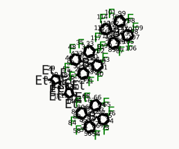 CCC1=C(CC)[C](CC)([Fe+3][C]2(CC)C(CC)=C(CC)C(CC)=C2CC)C(CC)=C1CC.Fc1cc(F)cc([B-](c2cc(F)cc(F)c2)(c2cc(F)cc(F)c2)c2cc(F)cc(F)c2)c1.Fc1cc(F)cc([B-](c2cc(F)cc(F)c2)(c2cc(F)cc(F)c2)c2cc(F)cc(F)c2)c1.Fc1cc(F)cc([B-](c2cc(F)cc(F)c2)(c2cc(F)cc(F)c2)c2cc(F)cc(F)c2)c1